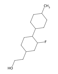 CC1CCC(C2CCC(CCO)CC2F)CC1